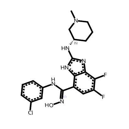 CN1CCC[C@H](Nc2nc3c(F)c(F)cc(/C(=N/O)Nc4cccc(Cl)c4)c3[nH]2)C1